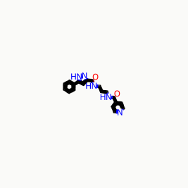 O=C(NCCCNC(=O)c1cc(-c2ccccc2)[nH]n1)c1ccncc1